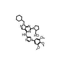 COc1cc(-n2cnc(Nc3nc(N4CCCC4CO)nc4c3cnn4CC3CCCCC3)c2)cc(OC)c1OC